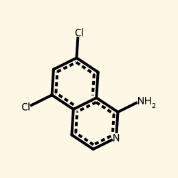 Nc1nccc2c(Cl)cc(Cl)cc12